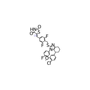 COc1cc(C2CCCc3nc(SCc4c(F)cc(/C=C5\SC(=O)NC5=O)cc4F)n(-c4ccc(F)cc4)c32)ccc1Cl